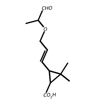 CC(C=O)OCC=CC1C(C(=O)O)C1(C)C